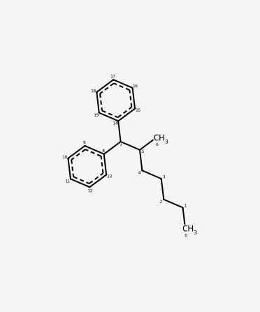 CCCCCC(C)C(c1ccccc1)c1ccccc1